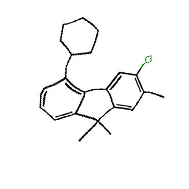 Cc1cc2c(cc1Cl)-c1c(C3CCCCC3)cccc1C2(C)C